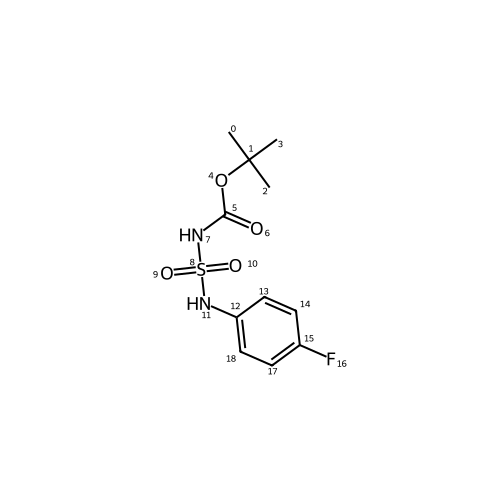 CC(C)(C)OC(=O)NS(=O)(=O)Nc1ccc(F)cc1